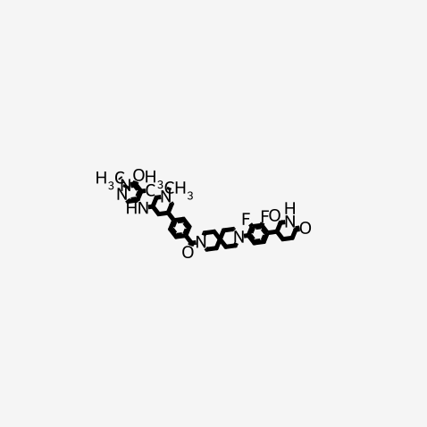 Cc1c(NC2CC(c3ccc(C(=O)N4CCC5(CC4)CCN(c4ccc(C6CCC(=O)NC6=O)c(F)c4F)CC5)cc3)CN(C)C2)cnn(C)c1=O